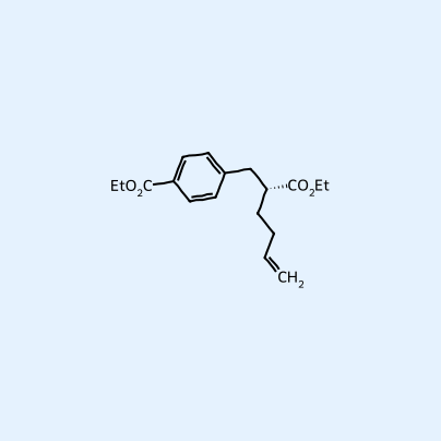 C=CCC[C@H](Cc1ccc(C(=O)OCC)cc1)C(=O)OCC